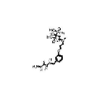 CN(CCCOc1cccc(CNNC(=S)NN)c1)CCC(O)(P(=O)(O)O)P(=O)(O)O